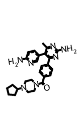 Cc1nc(N)nc(-c2ccc(C(=O)N3CCN(C4CCCC4)CC3)cc2)c1-c1ccc(N)nc1